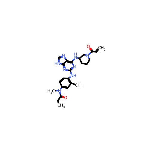 C=CC(=O)N1CCCC(Nc2nc(Nc3ccc(N(C)C(=O)CC)cc3C)nc3[nH]cnc23)C1